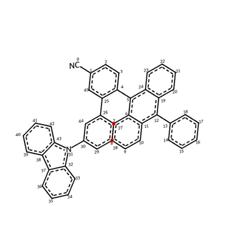 N#Cc1ccc(-c2c3ccccc3c(-c3ccccc3)c3ccccc23)c(-c2cccc(-n3c4ccccc4c4ccccc43)c2)c1